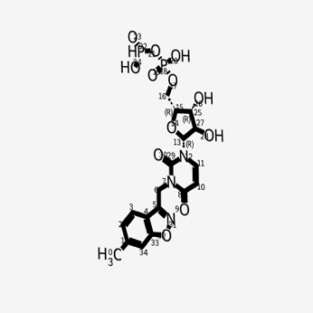 Cc1ccc2c(Cn3c(=O)ccn([C@@H]4O[C@H](COP(=O)(O)O[PH](=O)O)[C@H](O)C4O)c3=O)noc2c1